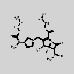 BNPOC(=O)C1=C(CN2CC[C@H](N(C)C(=O)OPNB)C2)[C@H](C)[C@@H]2C([C@@H](C)O)C(=O)N12